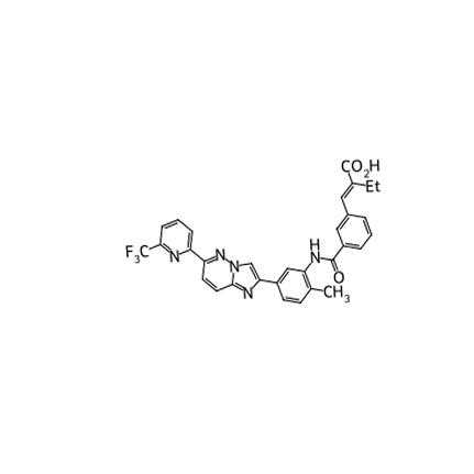 CC/C(=C\c1cccc(C(=O)Nc2cc(-c3cn4nc(-c5cccc(C(F)(F)F)n5)ccc4n3)ccc2C)c1)C(=O)O